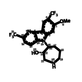 COc1cc2c(cc1C(F)(F)F)c1nc(C(F)(F)F)ccc1n2[C@H]1CCCNC[C@@H]1O